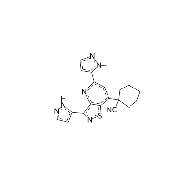 Cn1nccc1-c1cc(C2(C#N)CCCCC2)c2snc(-c3ccn[nH]3)c2n1